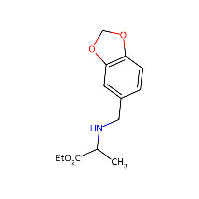 CCOC(=O)C(C)NCc1ccc2c(c1)OCO2